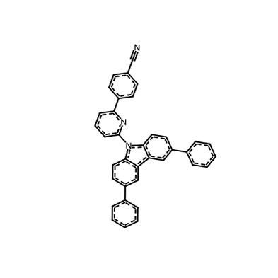 N#Cc1ccc(-c2cccc(-n3c4ccc(-c5ccccc5)cc4c4cc(-c5ccccc5)ccc43)n2)cc1